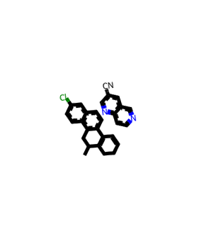 CC1Cc2c(ccc3cc(Cl)ccc23)C2=C1CCC=C2.N#Cc1cnc2ccncc2c1